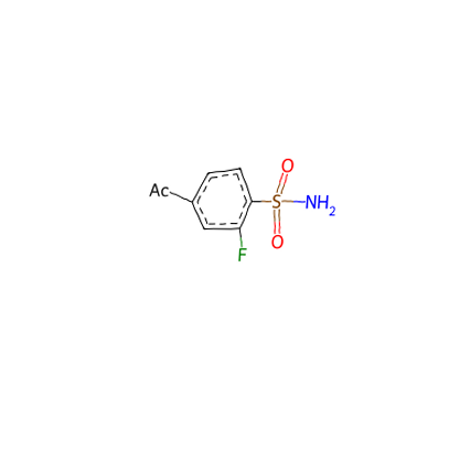 CC(=O)c1ccc(S(N)(=O)=O)c(F)c1